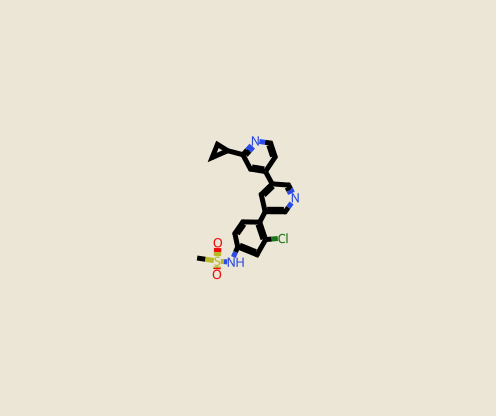 CS(=O)(=O)Nc1ccc(-c2cncc(-c3ccnc(C4CC4)c3)c2)c(Cl)c1